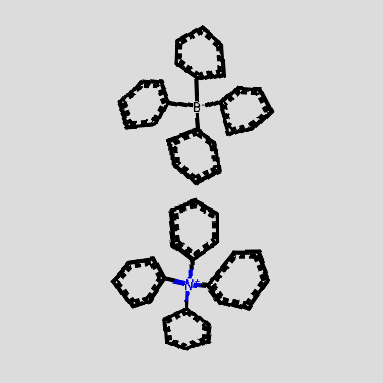 c1ccc([B-](c2ccccc2)(c2ccccc2)c2ccccc2)cc1.c1ccc([N+](c2ccccc2)(c2ccccc2)c2ccccc2)cc1